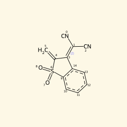 [C-]#[N+]/C(C#N)=C1\C(=C)S(=O)(=O)c2ccccc21